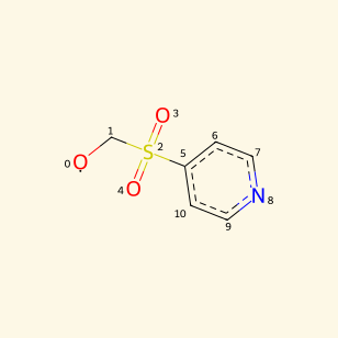 [O]CS(=O)(=O)c1ccncc1